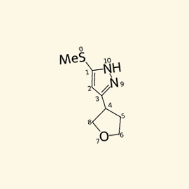 CSc1cc(C2CCOC2)n[nH]1